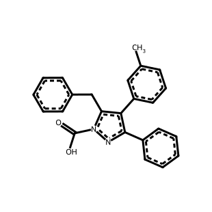 Cc1cccc(-c2c(-c3ccccc3)nn(C(=O)O)c2Cc2ccccc2)c1